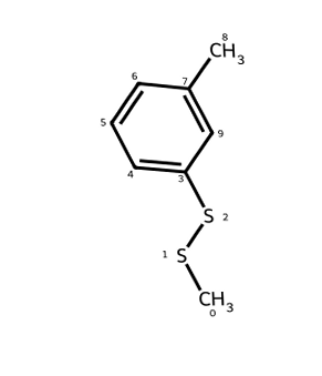 CSSc1cccc(C)c1